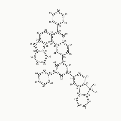 CC1(C)c2ccccc2-c2cc(-c3cc(-c4ccc5nc(-c6ccccc6)c6ccc7sc8ccccc8c7c6c5c4)nc(-c4ccccc4)n3)ccc21